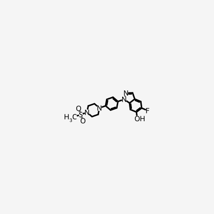 CS(=O)(=O)N1CCN(c2ccc(-n3ncc4cc(F)c(O)cc43)cc2)CC1